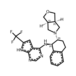 FC(F)(F)c1cc2c(N[C@@H]3c4ccccc4CC[C@H]3N3C[C@H]4COC[C@H]4C3)ncnc2[nH]1